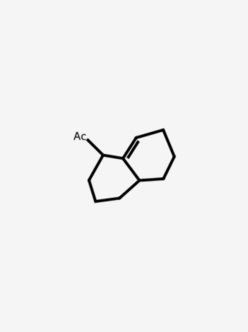 CC(=O)C1CCCC2CCCC=C21